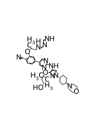 C[C@@H](CN/C=N\C=N)Oc1cc(-c2cnc(Nc3cn([C@H]4CC[C@H](N5CCOCC5)CC4)nc3OC(C)(C)CCO)nc2)ccc1C#N